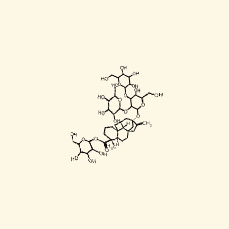 C=C1C[C@]23CC[C@H]4[C@]5(CCC[C@@]4(C)C(=O)OC4OC(CO)C(O)C(O)C4O)CC(C[C@]1(OC1OC(CO)C(O)C(OC4OC(CO)C(O)C(O)C4O)C1OC1OC(CO)C(O)C(O)C1O)C2)[C@H]35